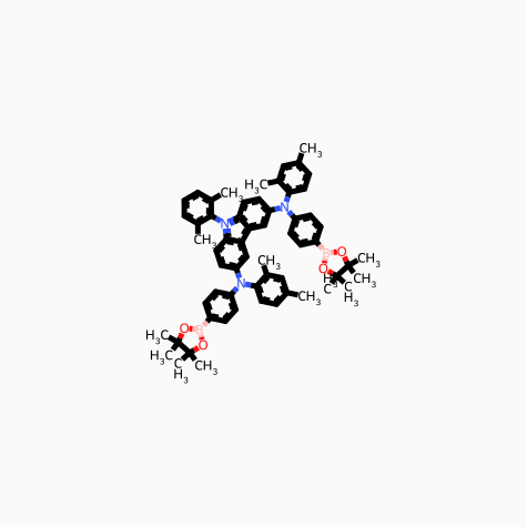 Cc1ccc(N(c2ccc(B3OC(C)(C)C(C)(C)O3)cc2)c2ccc3c(c2)c2cc(N(c4ccc(B5OC(C)(C)C(C)(C)O5)cc4)c4ccc(C)cc4C)ccc2n3-c2c(C)cccc2C)c(C)c1